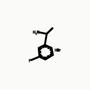 Br.CC(N)c1cccc(F)c1